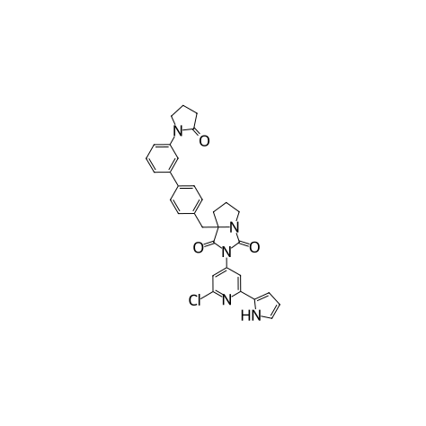 O=C1CCCN1c1cccc(-c2ccc(CC34CCCN3C(=O)N(c3cc(Cl)nc(-c5ccc[nH]5)c3)C4=O)cc2)c1